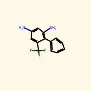 Nc1cc(N)c(-c2ccccc2)c(C(F)(F)F)c1